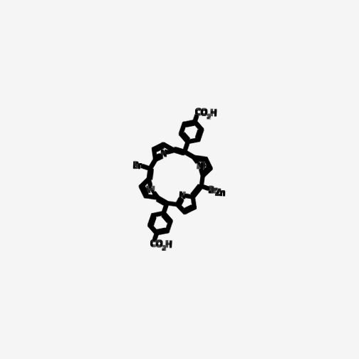 O=C(O)c1ccc(-c2c3nc(c(Br)c4ccc([nH]4)c(-c4ccc(C(=O)O)cc4)c4nc(c(Br)c5ccc2[nH]5)C=C4)C=C3)cc1.[Zn]